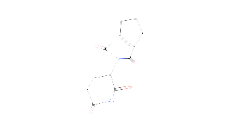 O=C1CCC(N2C(=O)C3=C(CCC3)C2=O)C(=O)N1